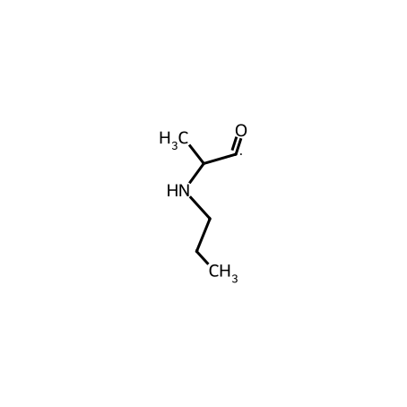 CCCNC(C)[C]=O